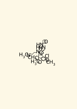 COc1cc(OC)c(Cl)c(-c2cc3cnc(NC4CCOC4)nc3c(NCCCCN(C)C)n2)c1Cl